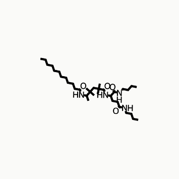 CCCCCCCCCCCC(=O)NC(C)C(C)(C)CC(C)(C)C(=O)NC(CCC(=O)NCCCC)C(=O)NCCCC